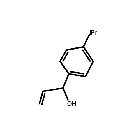 C=CC(O)c1ccc(C(C)C)cc1